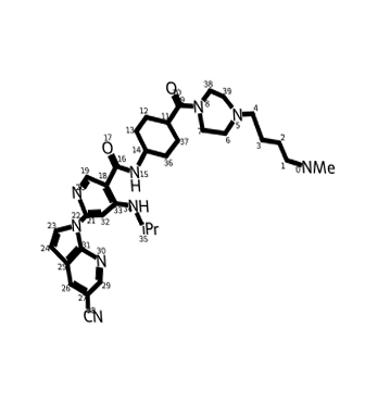 CNCCCCN1CCN(C(=O)C2CCC(NC(=O)c3cnc(-n4ccc5cc(C#N)cnc54)cc3NC(C)C)CC2)CC1